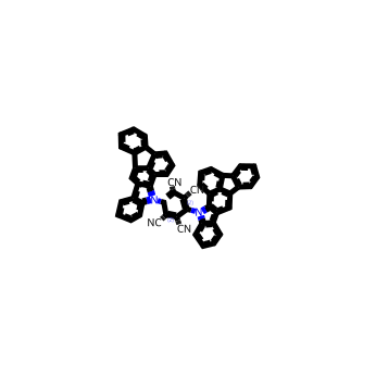 C=C(C#N)/C(C#N)=C(\C(C#N)=C(\C#N)Cn1c2ccccc2c2cc3c4c(cccc4c21)-c1ccccc1-3)n1c2ccccc2c2cc3c4c(cccc4c21)-c1ccccc1-3